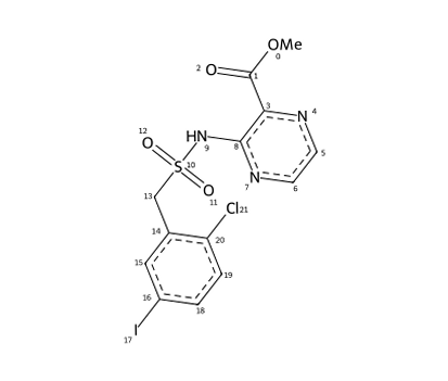 COC(=O)c1nccnc1NS(=O)(=O)Cc1cc(I)ccc1Cl